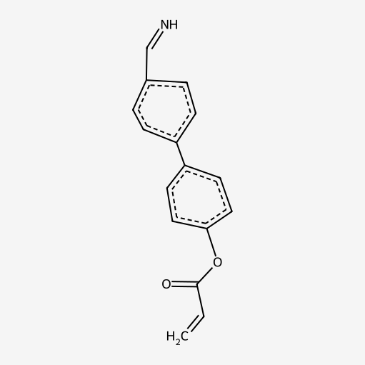 C=CC(=O)Oc1ccc(-c2ccc(C=N)cc2)cc1